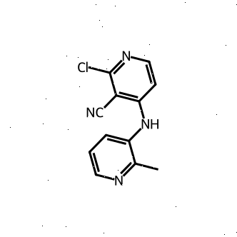 Cc1ncccc1Nc1ccnc(Cl)c1C#N